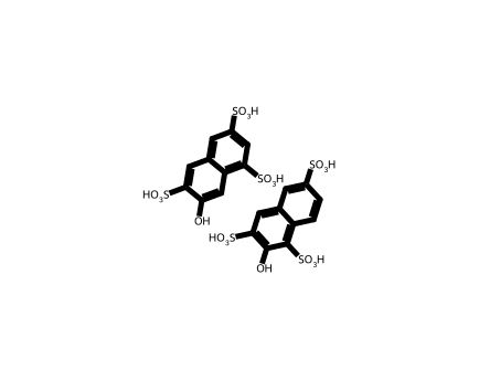 O=S(=O)(O)c1cc(S(=O)(=O)O)c2cc(O)c(S(=O)(=O)O)cc2c1.O=S(=O)(O)c1ccc2c(S(=O)(=O)O)c(O)c(S(=O)(=O)O)cc2c1